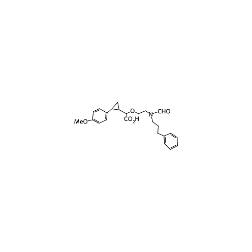 COc1ccc(C2CC2C(OCCN(C=O)CCCc2ccccc2)C(=O)O)cc1